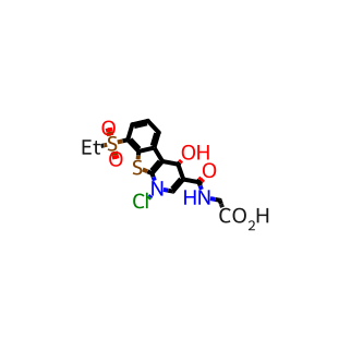 CCS(=O)(=O)c1cccc2c3c(sc12)N(Cl)C=C(C(=O)NCC(=O)O)C3O